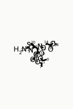 CCOP(=O)(OCC)OC(=O)C(=NOCC(=O)OC)c1csc(N)n1